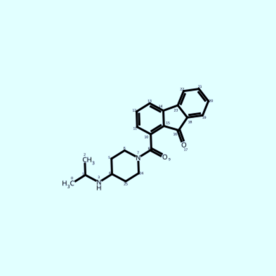 CC(C)NC1CCN(C(=O)c2cccc3c2C(=O)c2ccccc2-3)CC1